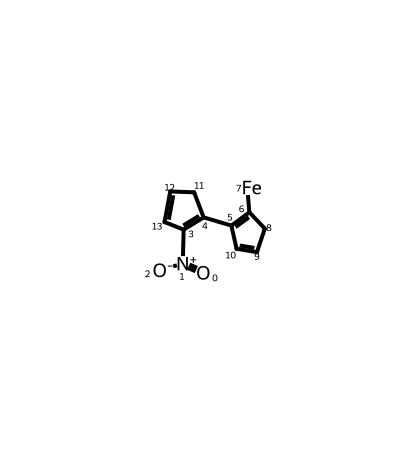 O=[N+]([O-])C1=C(C2=[C]([Fe])CC=C2)CC=C1